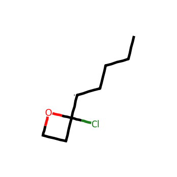 CCCC[CH]C1(Cl)CCO1